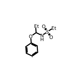 CCC(NS(=O)(=O)CC)Oc1cc[c]cc1